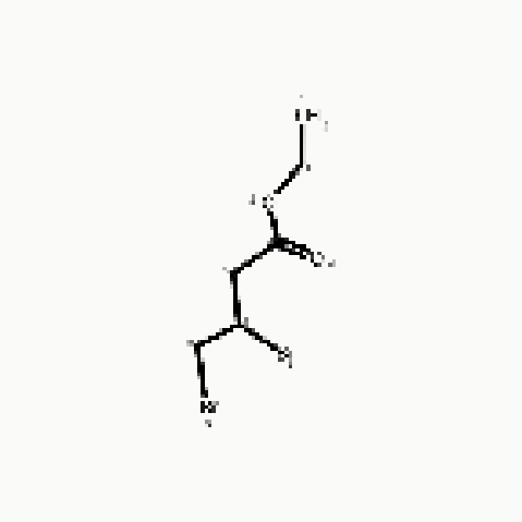 CCOC(=O)CC(Br)CBr